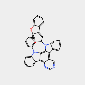 c1ccc(-n2c3ccccc3c3c4ncncc4c4c5ccccc5n(-c5ccc6oc7ccccc7c6c5)c4c32)cc1